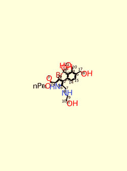 CCCOC(=O)c1[nH]c(CNCCO)c(-c2ccc(CO)c(CO)c2CO)c1Br